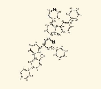 c1ccc(-c2ccc3oc4c(-c5nc(-c6ccccc6)nc(-c6ccc(-c7ccncn7)c7c6sc6ccc(-c8ccccc8)cc67)n5)cccc4c3c2)cc1